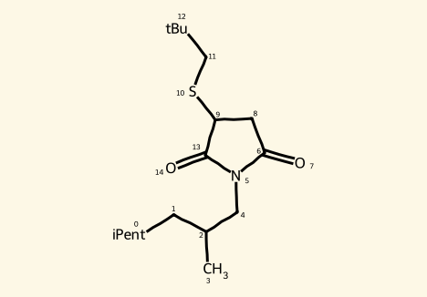 CCCC(C)CC(C)CN1C(=O)CC(SCC(C)(C)C)C1=O